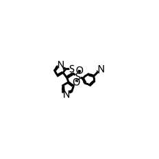 N#Cc1cccc(S(=O)(=O)c2sc3ncccc3c2-c2ccncc2)c1